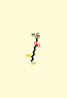 COCCOC(=O)CCCCC(S)CCS